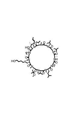 C/C=C/C[C@@H](C)[C@@H](O)[C@H]1C(=O)N[C@@H](CC)C(=O)N(C)[C@H](CSCCCCO)C(=O)N(C)[C@@H](CC(C)(C)OC)C(=O)N[C@H](C(C)C)C(=O)N(C)[C@H](CCC(C)C)C(=O)N[C@H](C)C(=O)N[C@@H](C)C(=O)N(C)[C@@H](CC(C)C)C(=O)N(C)[C@@H](CC(C)C)C(=O)N(C)[C@@H](C(C)C)C(=O)N1C